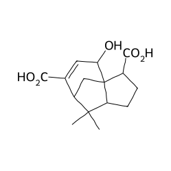 CC1(C)C2CC3(C(O)C=C2C(=O)O)C(C(=O)O)CCC13